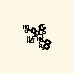 COc1cc(C(=O)O)ccc1[C@@H]1C[C@H](CN[C@H](C)c2cccc3ccccc23)Oc2ccccc21.Cl